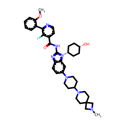 COc1ccccc1-c1nccc(C(=O)Nc2nc3ccc(N4CCC(N5CCC6(CC5)CN(C)C6)CC4)cc3n2[C@H]2CC[C@@H](O)CC2)c1F